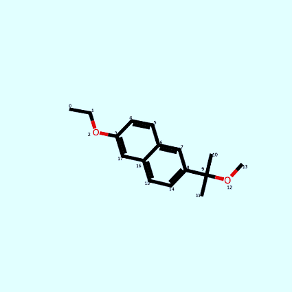 CCOc1ccc2cc(C(C)(C)OC)ccc2c1